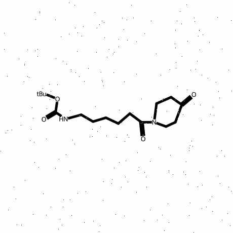 CC(C)(C)OC(=O)NCCCCCC(=O)N1CCC(=O)CC1